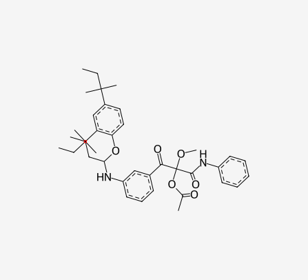 CCCC(Nc1cccc(C(=O)C(OC)(OC(C)=O)C(=O)Nc2ccccc2)c1)Oc1ccc(C(C)(C)CC)cc1C(C)(C)CC